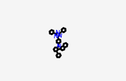 c1ccc(-c2nc(-c3ccccc3)nc(-c3ccc(-n4c5cccc(-c6ccccc6)c5c5ccc6ccccc6c54)cc3)n2)cc1